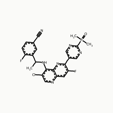 CC(Nc1c(Cl)cnc2cc(F)c(-c3cnc(P(C)(C)=O)nc3)nc12)c1cc(C#N)ccc1F